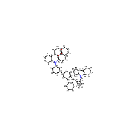 c1ccc(-c2ccccc2N(c2cccc(-c3ccc4c(c3)-c3ccccc3C43c4ccccc4-n4c5ccccc5c5cccc3c54)c2)c2ccc3ccccc3c2)cc1